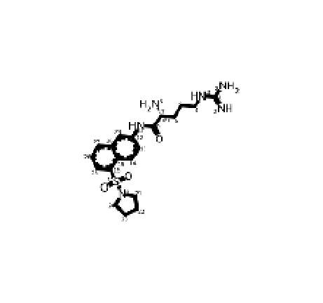 N=C(N)NCCC[C@@H](N)C(=O)Nc1ccc2c(S(=O)(=O)N3CCCC3)cccc2c1